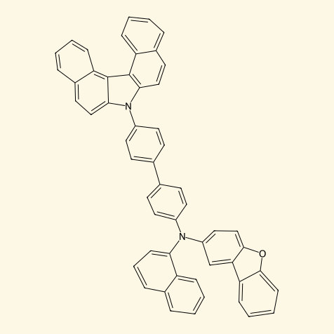 c1ccc2c(N(c3ccc(-c4ccc(-n5c6ccc7ccccc7c6c6c7ccccc7ccc65)cc4)cc3)c3ccc4oc5ccccc5c4c3)cccc2c1